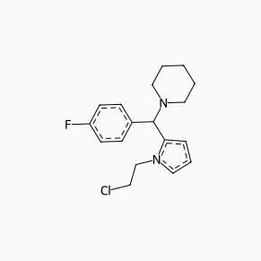 Fc1ccc(C(c2cccn2CCCl)N2CCCCC2)cc1